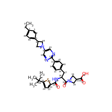 CCc1ccc(C2CN(c3cnc(-c4ccc(CC(NC(=O)c5ccc(C(C)(C)C)s5)C(=O)N5CC(C(=O)O)C5)cc4)nc3)C2)cc1